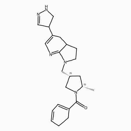 C[C@H]1C[C@@H](CN2CCC3CC(C4C=NNC4)=CN=C32)CN1C(=O)C1=CC=CCC1